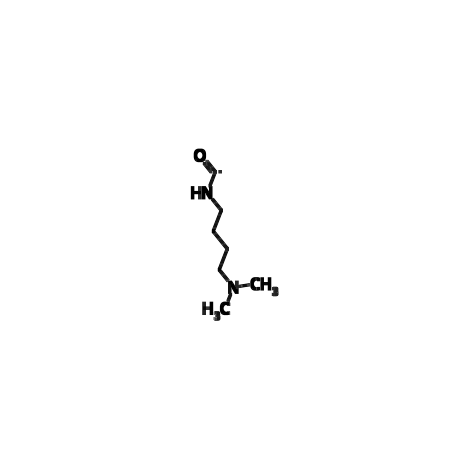 CN(C)CCCCN[C]=O